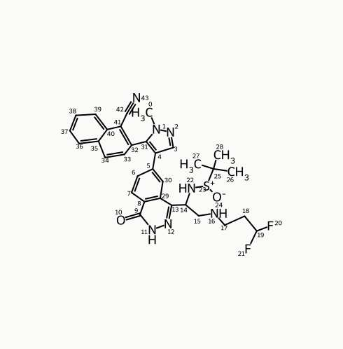 Cn1ncc(-c2ccc3c(=O)[nH]nc(C(CNCCC(F)F)N[S+]([O-])C(C)(C)C)c3c2)c1-c1ccc2ccccc2c1C#N